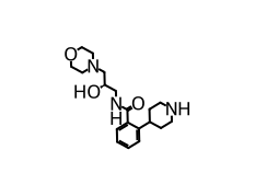 O=C(NC[C@@H](O)CN1CCOCC1)c1ccccc1C1CCNCC1